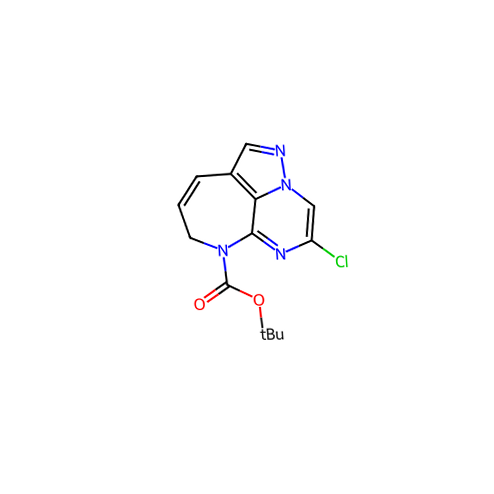 CC(C)(C)OC(=O)N1CC=Cc2cnn3cc(Cl)nc1c23